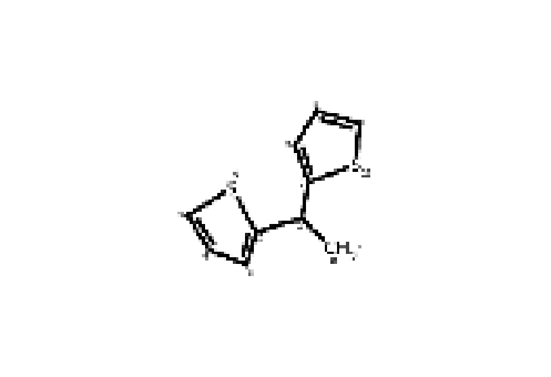 [CH2]C(c1cccs1)c1cccs1